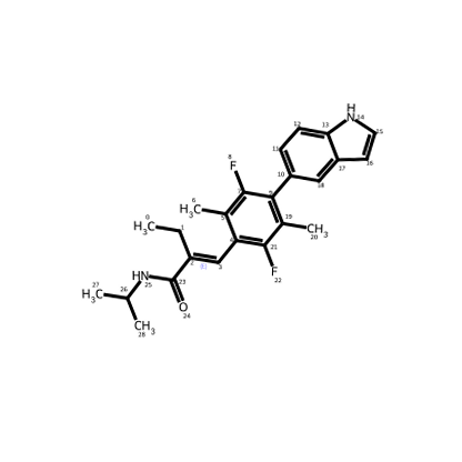 CC/C(=C\c1c(C)c(F)c(-c2ccc3[nH]ccc3c2)c(C)c1F)C(=O)NC(C)C